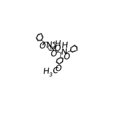 COc1ccc(C(NC(=O)c2ccccc2)C(=O)O[C@H]2C[N+]3(CC(=O)c4ccccc4)CCC2CC3)cc1